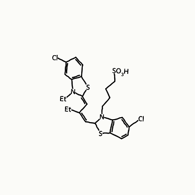 CCC(=CC1Sc2ccc(Cl)cc2N1CCCCS(=O)(=O)O)C=C1Sc2ccc(Cl)cc2N1CC